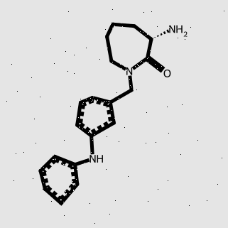 N[C@H]1CCCCN(Cc2cccc(Nc3ccccc3)c2)C1=O